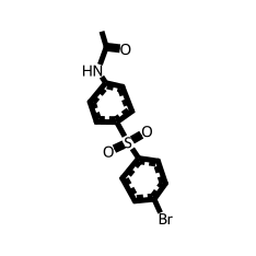 CC(=O)Nc1ccc(S(=O)(=O)c2ccc(Br)cc2)cc1